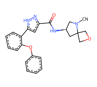 N#CN1C[C@H](NC(=O)c2cc(-c3ccccc3Oc3ccccc3)[nH]n2)CC12COC2